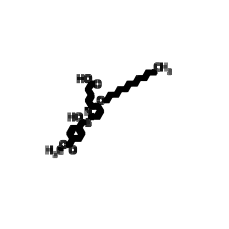 CCCCCCCCCCCCOc1ccc(SC(O)c2ccc(C(=O)OC)cc2)nc1C=CCC(=O)O